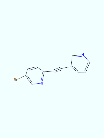 Brc1ccc(C#Cc2cccnc2)nc1